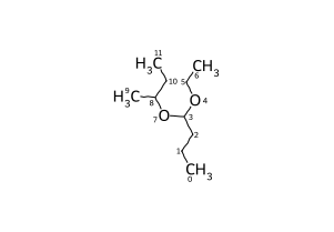 CCCC(OCC)OC(C)CC